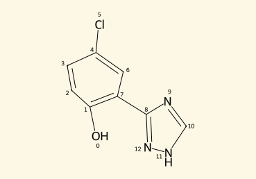 Oc1ccc(Cl)cc1-c1nc[nH]n1